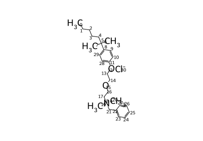 CCCCCC(C)(C)c1ccc(OCCOCC[N+](C)(C)Cc2ccccc2)cc1.[Cl-]